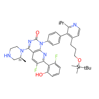 CC(C)c1nccc(CCCO[Si](C)(C)C(C)(C)C)c1-c1ccc(-n2c(=O)nc(N3CCNC[C@@H]3C)c3cc(F)c(-c4c(O)cccc4F)nc32)cc1